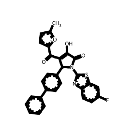 Cc1ccc(C(=O)C2=C(O)C(=O)N(c3nc4ccc(F)cc4s3)C2c2ccc(-c3ccccc3)cc2)o1